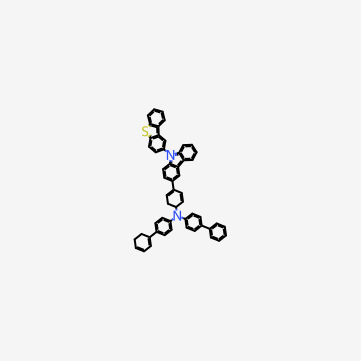 C1=CCCC(c2ccc(N(c3ccc(-c4ccccc4)cc3)C3C=CC(c4ccc5c(c4)c4ccccc4n5-c4ccc5sc6ccccc6c5c4)=CC3)cc2)=C1